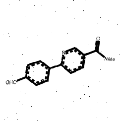 CNC(=O)c1ccc(-c2ccc(C=O)cc2)nc1